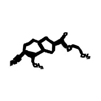 CCOC(=O)C1Cc2ccc(C#N)c(C)c2C1